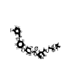 CC(C)(C)OC(=O)COCc1cncc(OC(=O)N2CCC(Oc3ccc(OCc4cccc(F)c4)cc3)CC2)c1